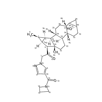 C[C@H]1[C@@H]2[C@H]1[C@H](C(=O)Cn1cc(C(=O)N3CCC3)cn1)[C@@]1(C)CC[C@H]3[C@@H](CC[C@@H]4C5C[C@@]5(O)CC[C@H]34)[C@H]21